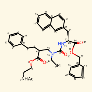 CC(=O)NCCOC(=O)C(CCc1ccccc1)CN(CC(C)C)C(=O)N[C@@H](Cc1ccc2ccccc2c1)C(=O)OCc1ccccc1